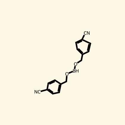 N#Cc1ccc(COBOCc2ccc(C#N)cc2)cc1